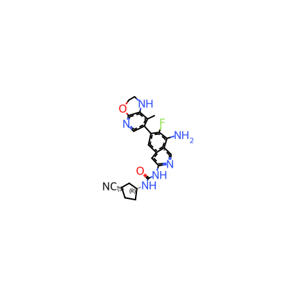 Cc1c(-c2cc3cc(NC(=O)N[C@@H]4CC[C@H](C#N)C4)ncc3c(N)c2F)cnc2c1NCCO2